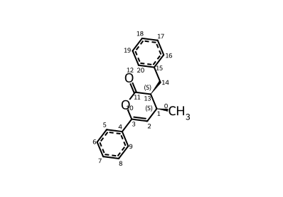 C[C@H]1C=C(c2ccccc2)OC(=O)[C@H]1Cc1ccccc1